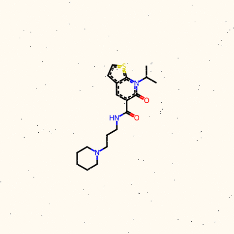 CC(C)n1c(=O)c(C(=O)NCCCN2CCCCC2)cc2ccsc21